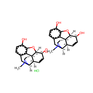 CN1CC[C@]23c4c5ccc(O)c4O[C@H]2[C@@H](O)C=C[C@H]3[C@H]1C5.CN1CC[C@]23c4c5ccc(O)c4O[C@H]2[C@@H](O)C=C[C@H]3[C@H]1C5.Cl